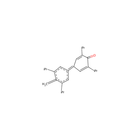 C=c1c(C(C)C)cc(=C2C=C(C(C)C)C(=O)C(C(C)C)=C2)cc1C(C)C